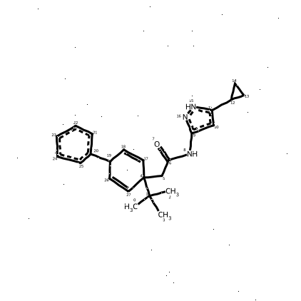 CC(C)(C)C1(CC(=O)Nc2cc(C3CC3)[nH]n2)C=CC(c2ccccc2)C=C1